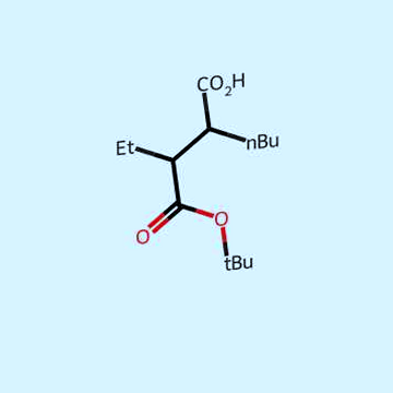 CCCCC(C(=O)O)C(CC)C(=O)OC(C)(C)C